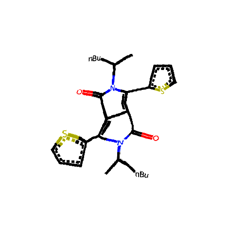 CCCCC(C)N1C(=O)C2=C(c3cccs3)N(C(C)CCCC)C(=O)C2=C1c1cccs1